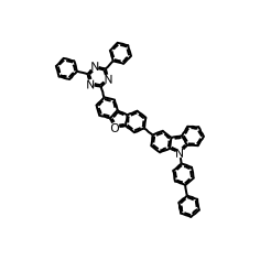 c1ccc(-c2ccc(-n3c4ccccc4c4cc(-c5ccc6c(c5)oc5ccc(-c7nc(-c8ccccc8)nc(-c8ccccc8)n7)cc56)ccc43)cc2)cc1